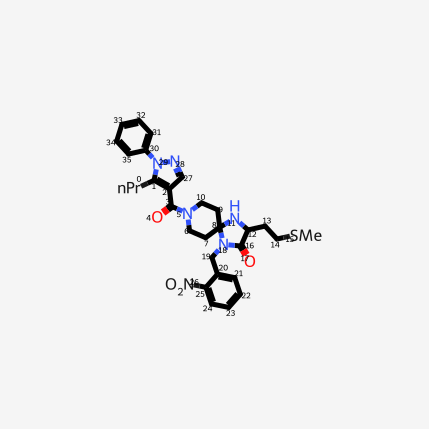 CCCc1c(C(=O)N2CCC3(CC2)NC(CCSC)C(=O)N3Cc2ccccc2[N+](=O)[O-])cnn1-c1ccccc1